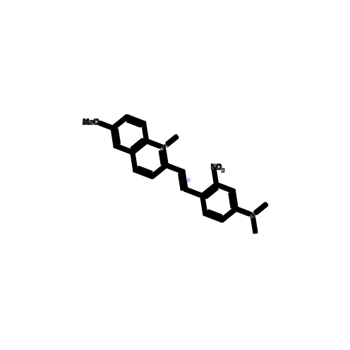 COc1ccc2c(ccc(/C=C/c3ccc(N(C)C)cc3[N+](=O)[O-])[n+]2C)c1